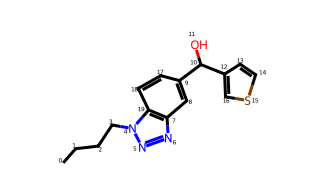 CCCCn1nnc2cc(C(O)c3ccsc3)ccc21